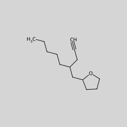 C#CCC(CCCCC)CC1CCCO1